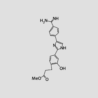 COC(=O)CCc1ccc(-c2nc(-c3ccc(C(=N)N)cc3)c[nH]2)cc1O